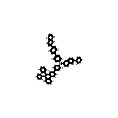 c1ccc(-c2ccc3cc(N(c4ccc(-c5ccc(-c6ccc7ccccc7c6)cc5)cc4)c4ccc(-c5ccc6c(c5)c(-c5ccccc5)c(-c5ccccc5)c5ccccc56)cc4)ccc3c2)cc1